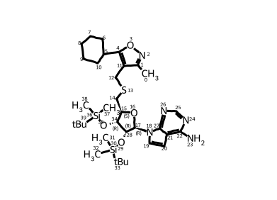 Cc1noc(C2CCCCC2)c1CSC[C@H]1O[C@@H](n2ccc3c(N)ncnc32)[C@H](O[Si](C)(C)C(C)(C)C)[C@@H]1O[Si](C)(C)C(C)(C)C